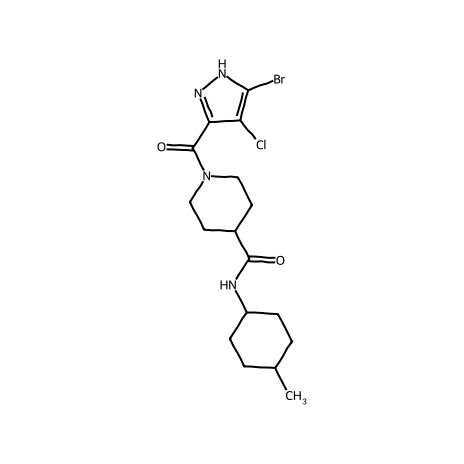 CC1CCC(NC(=O)C2CCN(C(=O)c3n[nH]c(Br)c3Cl)CC2)CC1